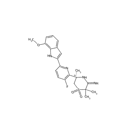 COc1cccc2cc(-c3ccc(F)c([C@]4(C)CS(=O)(=O)C(C)(C)C(=N)N4)n3)[nH]c12